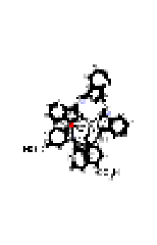 O=C(O)C1CCC(CO[Si]2(OCC3CCC(C(=O)O)CC3)N3/C4=N\C5=NC(=N\c6c7ncccc7c(n62)/N=C2\N=C(NC3c3ncccc34)C3=C2N=CCC3)/C2=C5N=CCC2)CC1